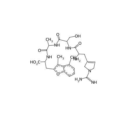 Cc1cccc2oc(CC(NC(=O)C(C)NC(=O)C(CO)NC(=O)C(N)CC3=CCN(C(=N)N)C3)C(=O)O)c(C)c12